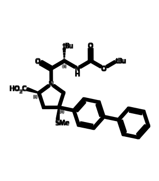 CS[C@@]1(c2ccc(-c3ccccc3)cc2)C[C@@H](C(=O)O)N(C(=O)[C@@H](NC(=O)OC(C)(C)C)C(C)(C)C)C1